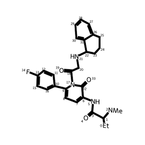 CCC(NC)C(=O)Nc1ccc(-c2ccc(F)cc2)n(C(=O)CNC2CCCc3ccccc32)c1=O